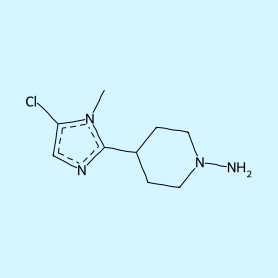 Cn1c(Cl)cnc1C1CCN(N)CC1